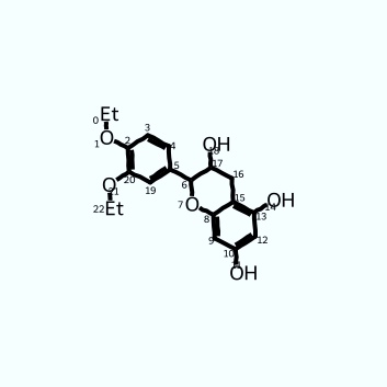 CCOc1ccc(C2Oc3cc(O)cc(O)c3CC2O)cc1OCC